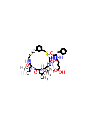 CC[C@H](C)[C@@H]1NC(=O)[C@H](CC(C)C)NC(=O)C(C)(C)NC(=O)[C@@H](NC(=O)[C@H](Cc2ccccc2)NC(=O)CCCC(=O)O)CSCc2cccc(c2)CSCCNC1=O